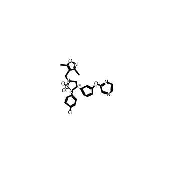 Cc1noc(C)c1CN1C[C@H](c2cccc(Oc3cnccn3)c2)N(c2ccc(Cl)cc2)S1(=O)=O